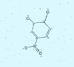 O=[N+]([O-])C1=CC(Cl)[C](Cl)C=C1